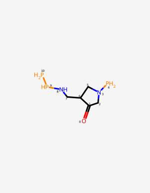 O=C1CN(P)CC1CNPP